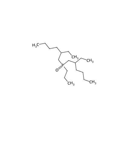 CCCCC(CC)CP(=O)(CCC)CC(CC)CCCC